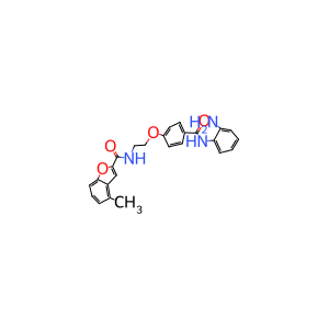 Cc1cccc2oc(C(=O)NCCOc3ccc(C(=O)Nc4ccccc4N)cc3)cc12